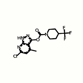 Cc1cc(Cl)nc2[nH]nc(OC(=O)N3CCC(C(F)(F)F)CC3)c12